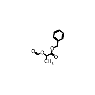 CC(OC=O)C(=O)OCc1ccccc1